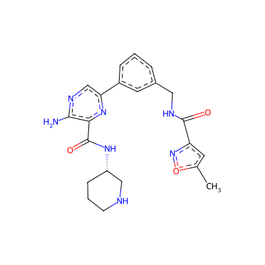 Cc1cc(C(=O)NCc2cccc(-c3cnc(N)c(C(=O)N[C@H]4CCCNC4)n3)c2)no1